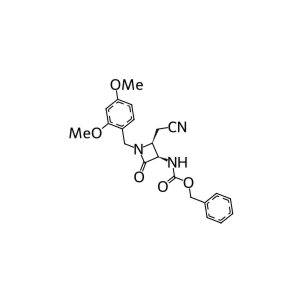 COc1ccc(CN2C(=O)[C@H](NC(=O)OCc3ccccc3)[C@@H]2CC#N)c(OC)c1